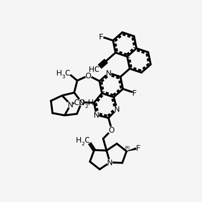 C#Cc1c(F)ccc2cccc(-c3nc4c5c(nc(OCC67C[C@@H](F)CN6CCC7=C)nc5c3F)N3CC5CCC(C3C(C)O4)N5C(=O)O)c12